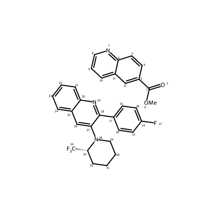 COC(=O)c1ccc2ncccc2c1.Fc1ccc(-c2nc3ccccc3cc2N2CCCC[C@@H]2C(F)(F)F)cc1